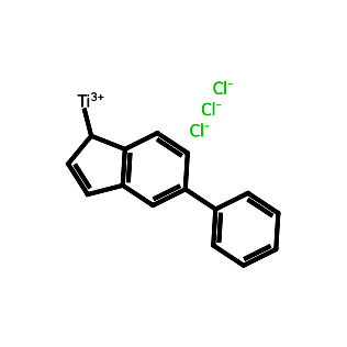 [Cl-].[Cl-].[Cl-].[Ti+3][CH]1C=Cc2cc(-c3ccccc3)ccc21